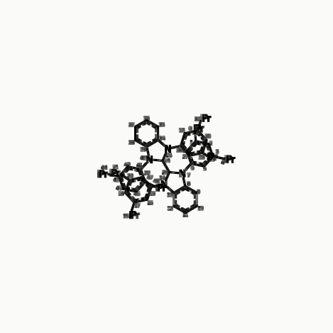 CC(C)c1cc(C(C)C)cc(N2c3ccccc3N(c3cc(C(C)C)cc(C(C)C)c3)C2C2N(c3cc(C(C)C)cc(C(C)C)c3)c3ccccc3N2c2cc(C(C)C)ccc2C(C)C)c1